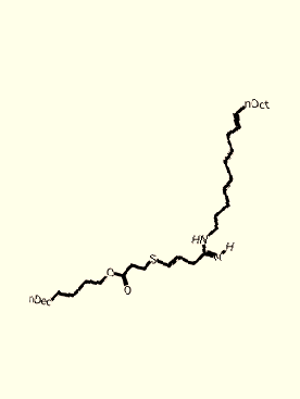 [H]/N=C(/CCCSCCC(=O)OCCCCCCCCCCCCCC)NCCCCCCCCC=CCCCCCCCC